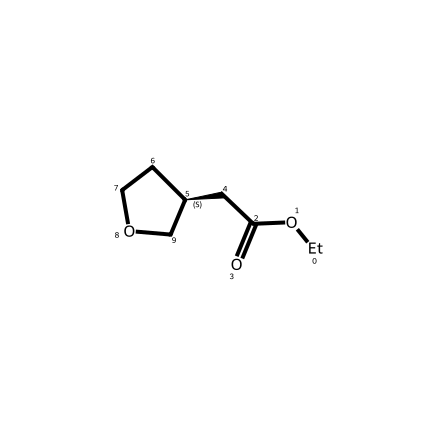 CCOC(=O)C[C@@H]1CCOC1